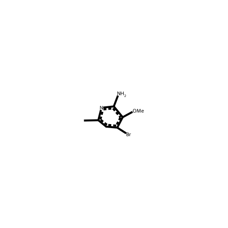 COc1c(Br)cc(C)nc1N